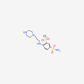 NS(=O)(=O)c1ccc(NCCCN2CCNCC2)c(S(=O)(=O)C(F)(F)F)c1